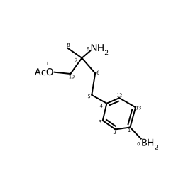 Bc1ccc(CCC(C)(N)COC(C)=O)cc1